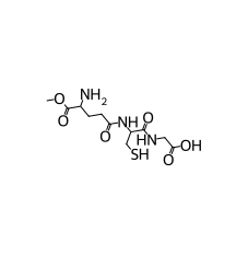 COC(=O)C(N)CCC(=O)NC(CS)C(=O)NCC(=O)O